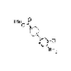 Bc1ccc(N2CCN(C(=O)OC(C)(C)C)CC2)cc1Cl